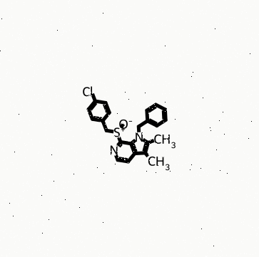 Cc1c(C)n(Cc2ccccc2)c2c([S+]([O-])Cc3ccc(Cl)cc3)nccc12